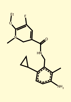 CCOC1=C(F)C=C(C(=O)NCc2c(C3CC3)ccc(N)c2C)CN1C